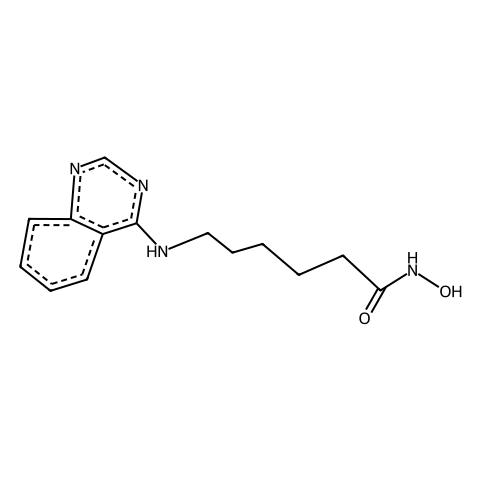 O=C(CCCCCNc1ncnc2ccccc12)NO